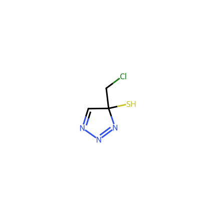 SC1(CCl)C=NN=N1